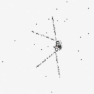 CCCCCCCCCCCCCCCCCCCC(CCCCCCCCCCCCCCCCCC)c1cc(C(C)(C)C)c(O[PH](=O)Oc2c(C(C)(C)C)cc(C(CCCCCCCCCCCCCCCCCC)CCCCCCCCCCCCCCCCCCC)cc2C(C)(C)C)c(C(C)(C)C)c1